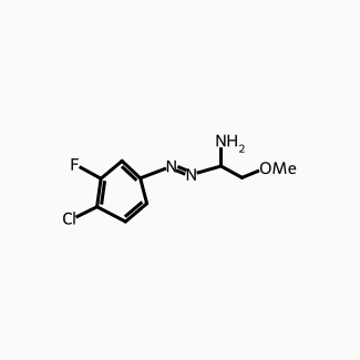 COCC(N)N=Nc1ccc(Cl)c(F)c1